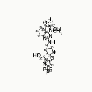 CN1c2nc(NCc3ccc(Oc4cc(C(F)(F)F)nn4CCO)nc3)nc3c2N(CCC3)C(=O)[C@]1(C)CO